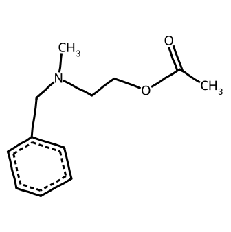 CC(=O)OCCN(C)Cc1ccccc1